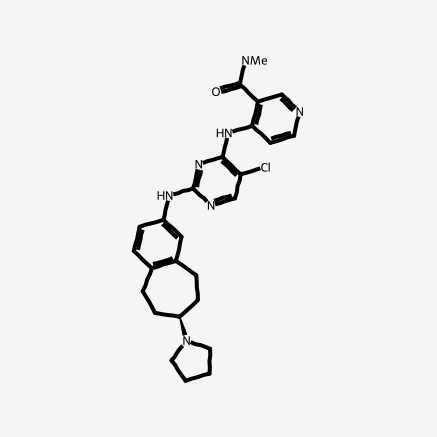 CNC(=O)c1cnccc1Nc1nc(Nc2ccc3c(c2)CC[C@@H](N2CCCC2)CC3)ncc1Cl